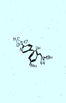 CC(C)(C)NCc1cc(C(C)(C)C)cc(-c2ccc(S(C)(=O)=O)nc2)c1O